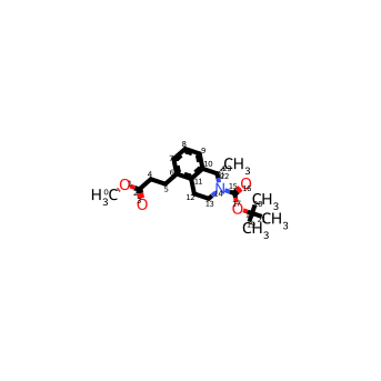 COC(=O)CCc1cccc2c1CCN(C(=O)OC(C)(C)C)[C@H]2C